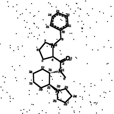 CN(C(=O)C1CCCN1Cc1ccccc1)[C@H]1CCCC[C@@H]1N1CCCC1